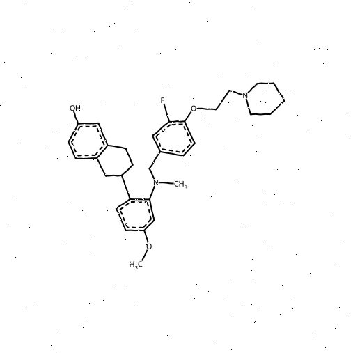 COc1ccc(C2CCc3cc(O)ccc3C2)c(N(C)Cc2ccc(OCCN3CCCCC3)c(F)c2)c1